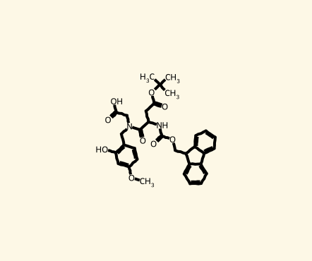 COc1ccc(CN(CC(=O)O)C(=O)C(CC(=O)OC(C)(C)C)NC(=O)OCC2c3ccccc3-c3ccccc32)c(O)c1